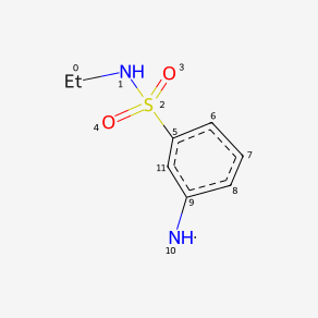 CCNS(=O)(=O)c1cccc([NH])c1